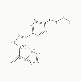 CCCOc1ccc(-c2csc3c2-n2cccc2C3=O)cc1